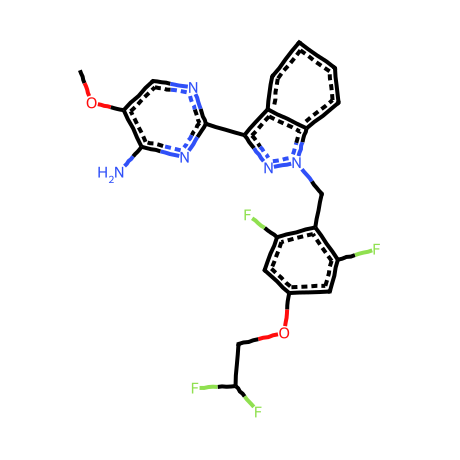 COc1cnc(-c2nn(Cc3c(F)cc(OCC(F)F)cc3F)c3ccccc23)nc1N